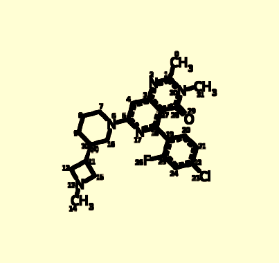 Cc1nc2cc(N3CCC[C@H](C4CN(C)C4)C3)nc(-c3ccc(Cl)cc3F)c2c(=O)n1C